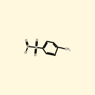 Cc1ccc(S(=O)(=O)[N+](=O)[O-])cc1